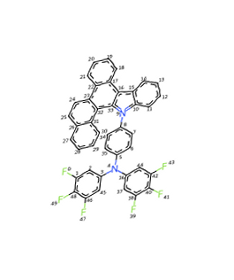 Fc1cc(N(c2ccc(-n3c4ccccc4c4c5ccccc5c5ccc6ccccc6c5c43)cc2)c2cc(F)c(F)c(F)c2)cc(F)c1F